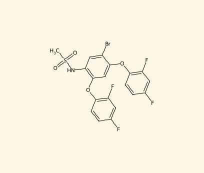 CS(=O)(=O)Nc1cc(Br)c(Oc2ccc(F)cc2F)cc1Oc1ccc(F)cc1F